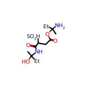 CCC(C)(O)NC(=O)C(CC(=O)OC(C)(N)CC)S(=O)(=O)O